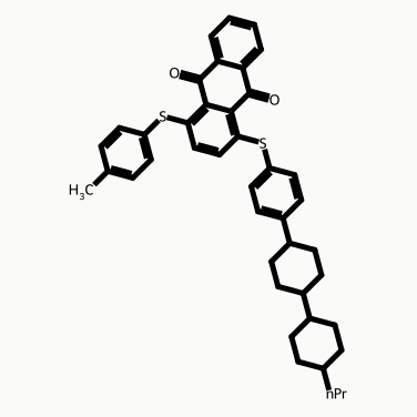 CCCC1CCC(C2CCC(c3ccc(Sc4ccc(Sc5ccc(C)cc5)c5c4C(=O)c4ccccc4C5=O)cc3)CC2)CC1